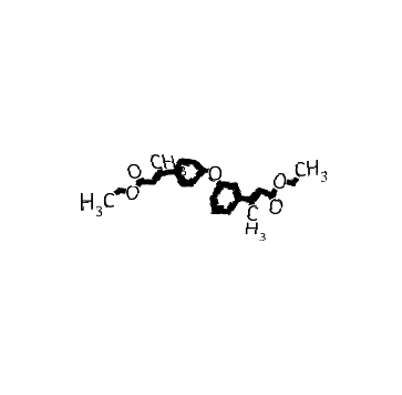 CCOC(=O)C=C(C)c1ccc(Oc2cccc(C(C)=CC(=O)OCC)c2)cc1